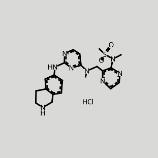 CN(Cc1nccnc1N(C)S(C)(=O)=O)c1ccnc(Nc2ccc3c(c2)CCNC3)n1.Cl